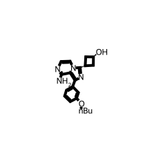 CCCCOc1cccc(-c2nc([C@H]3C[C@@H](O)C3)n3ccnc(N)c23)c1